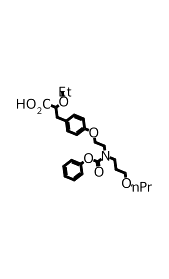 CCCOCCCN(CCOc1ccc(CC(OCC)C(=O)O)cc1)C(=O)Oc1ccccc1